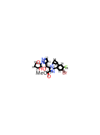 COC(=O)c1nc2n(c1C(O)c1ccnn1C1CCCCO1)C1CC(C1)c1cc(F)c(Br)cc1-2